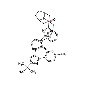 Cc1ccc(-n2nc(C(C)(C)C)cc2NC(=O)Nc2cccc(CC3CC4CCC(C3)N4C(=O)c3csc(-c4ccncc4)n3)c2)cc1